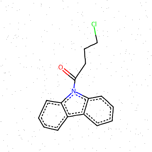 O=C(CCCCl)n1c2ccccc2c2ccccc21